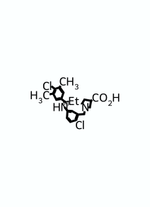 CC[C@@H](Nc1ccc(Cl)c(CN2CCC(C(=O)O)C2)c1)c1cc(C)c(Cl)c(C)c1